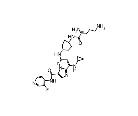 NCCC[C@H](N)C(=O)N[C@H]1CC[C@H](Nc2cc(NC3CC3)c3ncc(C(=O)Nc4ccncc4F)n3n2)CC1